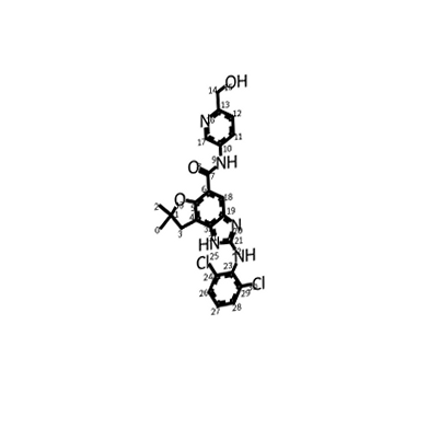 CC1(C)Cc2c(c(C(=O)Nc3ccc(CO)nc3)cc3nc(Nc4c(Cl)cccc4Cl)[nH]c23)O1